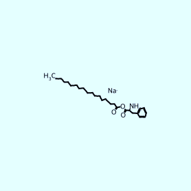 CCCCCCCCCCCCCCCCCC(=O)OC(=O)[C@@H](N)Cc1ccccc1.[Na]